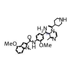 C=C(C1CCNCC1)N1C=CN=C(C)/C1=C(/N)c1ccc(NC(=O)c2cc3c(OC)cccc3n2C)c(OC)c1